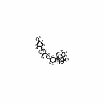 COc1ccc(-c2nc(COC3CCCC(C(=O)NC4(C(=O)O)CCCC4)C3)c(C)o2)cc1